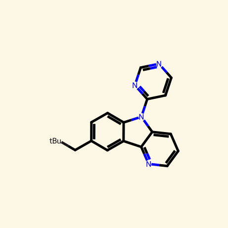 CC(C)(C)Cc1ccc2c(c1)c1ncccc1n2-c1ccncn1